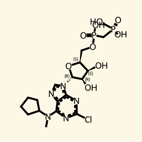 CN(c1nc(Cl)nc2c1ncn2[C@@H]1O[C@@H](COP(=O)(O)CP(=O)(O)O)[C@@H](O)[C@H]1O)C1CCCC1